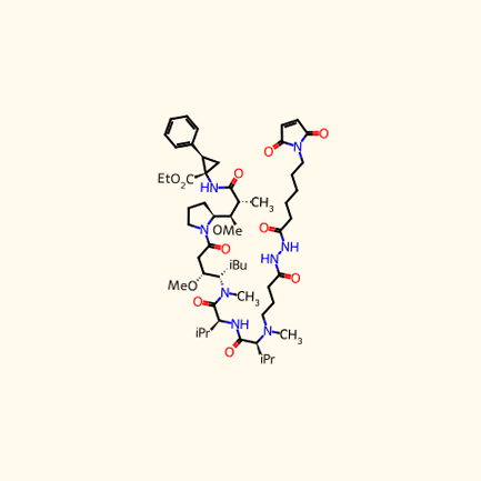 CCOC(=O)[C@]1(NC(=O)[C@H](C)[C@@H](OC)[C@@H]2CCCN2C(=O)C[C@@H](OC)[C@H]([C@@H](C)CC)N(C)C(=O)[C@@H](NC(=O)[C@H](C(C)C)N(C)CCCC(=O)NNC(=O)CCCCCN2C(=O)C=CC2=O)C(C)C)C[C@@H]1c1ccccc1